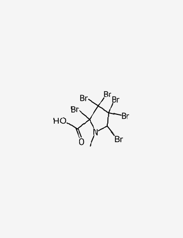 CN1C(Br)C(Br)(Br)C(Br)(Br)C1(Br)C(=O)O